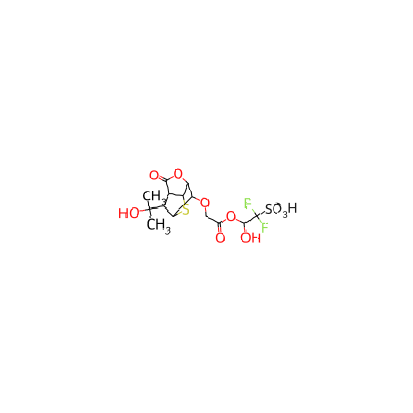 CC(C)(O)C1C2SC3C(OC(=O)C31)C2OCC(=O)OC(O)C(F)(F)S(=O)(=O)O